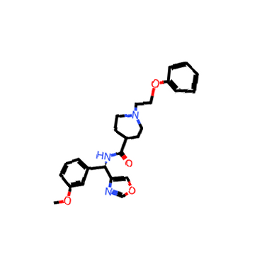 COc1cccc([C@H](NC(=O)C2CCN(CCOc3ccccc3)CC2)c2cocn2)c1